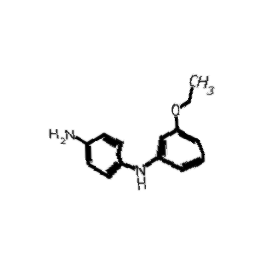 CCOc1cccc(Nc2ccc(N)cc2)c1